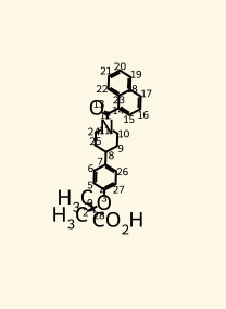 CC(C)(Oc1ccc(C2CCN(C(=O)c3cccc4ccccc34)CC2)cc1)C(=O)O